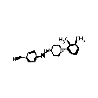 Cc1cccc(N2CCN(/N=N/c3ccc(C#N)cc3)CC2)c1C